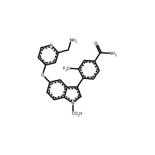 NCc1cc(Oc2ccc3c(c2)c(-c2ccc(C(N)=O)cc2C(F)(F)F)cn3C(=O)O)ccn1